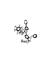 COC(=O)c1ccc(N(Cc2ccc(C3=CCCCC3)cn2)C(=O)[C@H]2CCN2S(=O)(=O)c2c(F)c(F)c(F)c(F)c2F)cc1OCc1ccccc1